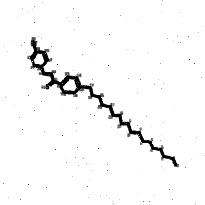 CCCCCCCCCCCCCCCCCCc1ccc(C(=S)C=Cc2ccc(Br)cc2)cc1